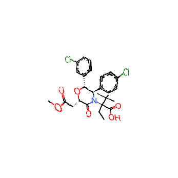 CCC(C(=O)O)(N1C(=O)[C@H](CC(=O)OC)O[C@H](c2cccc(Cl)c2)[C@H]1c1ccc(Cl)cc1)C(C)(C)C